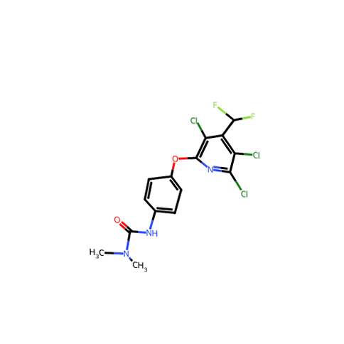 CN(C)C(=O)Nc1ccc(Oc2nc(Cl)c(Cl)c(C(F)F)c2Cl)cc1